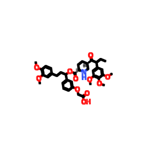 CCC(C(=O)[C@@H]1CC[C@@H](C(=O)OC(CCc2ccc(OC)c(OC)c2)c2cccc(OCC(=O)O)c2)NC1)c1cc(OC)c(OC)c(OC)c1